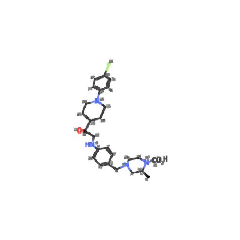 C[C@H]1CN(Cc2ccc(NCC(=O)C3CCN(c4ccc(F)cc4)CC3)cc2)CCN1C(=O)O